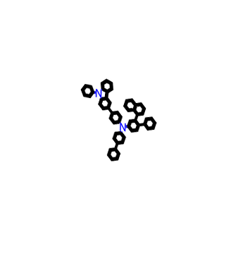 c1ccc(-c2ccc(N(c3ccc(-c4ccc5c(c4)c4ccccc4n5-c4ccccc4)cc3)c3ccc(-c4ccccc4)c(-c4cccc5ccccc45)c3)cc2)cc1